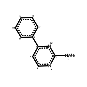 CNc1nccc(-c2ccccc2)n1